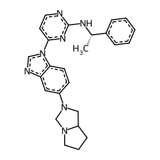 C[C@H](Nc1nccc(-n2cnc3cc(N4CC5CCCN5C4)ccc32)n1)c1ccccc1